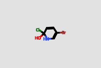 OC1(Cl)C=CC(Br)=CN1